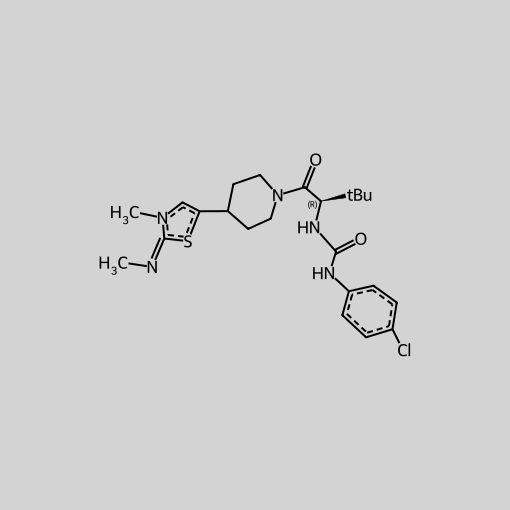 CN=c1sc(C2CCN(C(=O)[C@H](NC(=O)Nc3ccc(Cl)cc3)C(C)(C)C)CC2)cn1C